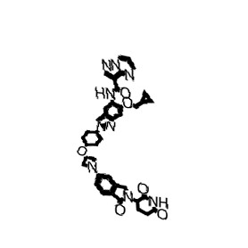 O=C1CCC(N2Cc3cc(N4CC(OC5CCC(n6cc7cc(NC(=O)c8cnn9cccnc89)c(OCC8CC8)cc7n6)CC5)C4)ccc3C2=O)C(=O)N1